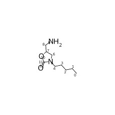 CCCCCN1CC(CN)OC1=O